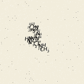 CCNc1ccc(-c2nn[nH]n2)c(N2CCN(Cc3nc4ccccc4s3)CC2)c1